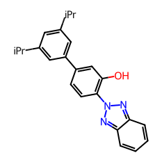 CC(C)c1cc(-c2ccc(-n3nc4ccccc4n3)c(O)c2)cc(C(C)C)c1